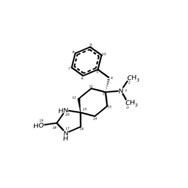 CN(C)[C@]1(Cc2ccccc2)CC[C@@]2(CC1)CNC(O)N2